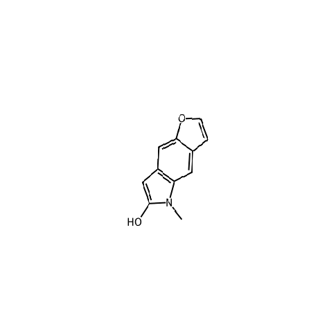 Cn1c(O)cc2cc3occc3cc21